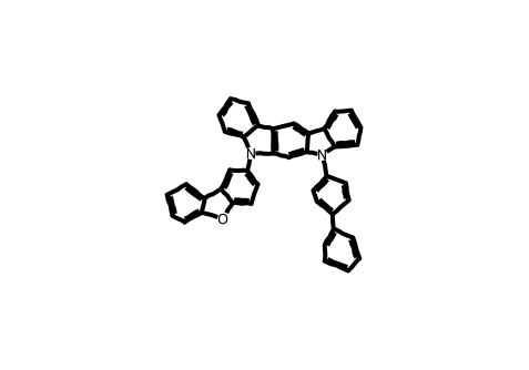 c1ccc(-c2ccc(-n3c4ccccc4c4cc5c6ccccc6n(-c6ccc7oc8ccccc8c7c6)c5cc43)cc2)cc1